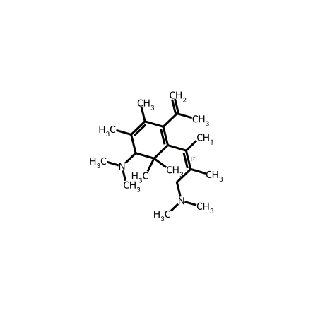 C=C(C)C1=C(/C(C)=C(/C)CN(C)C)C(C)(C)C(N(C)C)C(C)=C1C